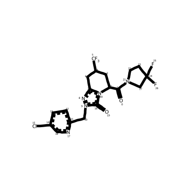 O=C(C1CC(C(F)(F)F)Cc2nn(Cc3ccc(Cl)cn3)c(=O)n21)N1CCC(F)(F)C1